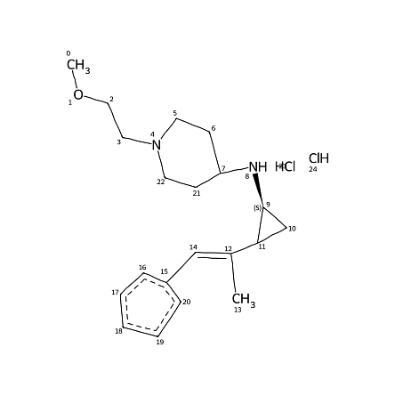 COCCN1CCC(N[C@H]2CC2C(C)=Cc2ccccc2)CC1.Cl.Cl